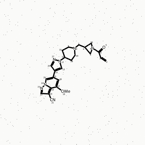 C=CC(=O)N1CC(CN2CCC(n3cc(-c4cc(OC)c5c(C#N)cnn5c4)cn3)CC2)C1